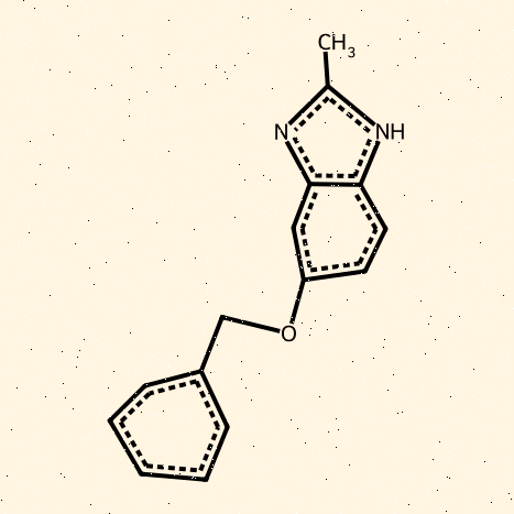 Cc1nc2cc(OCc3ccccc3)ccc2[nH]1